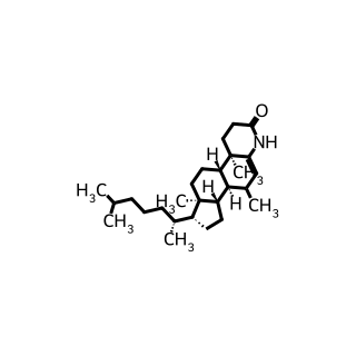 CC(C)CCC[C@@H](C)[C@H]1CC[C@H]2[C@@H]3C(C)C=C4NC(=O)CC[C@]4(C)[C@H]3CC[C@]12C